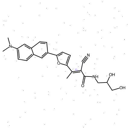 C/C(=C(/C#N)C(=O)NCC(O)CO)c1ccc(-c2ccc3cc(N(C)C)ccc3c2)o1